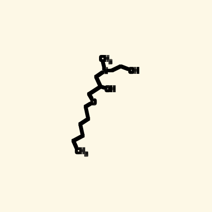 CCCCCCOCC(O)CN(C)CCO